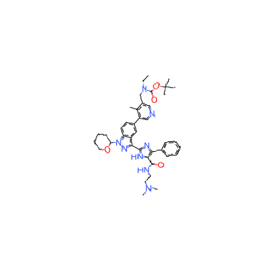 CCN(Cc1cncc(-c2ccc3c(c2)c(-c2nc(-c4ccccc4)c(C(=O)NCCN(C)C)[nH]2)nn3C2CCCCO2)c1C)C(=O)OC(C)(C)C